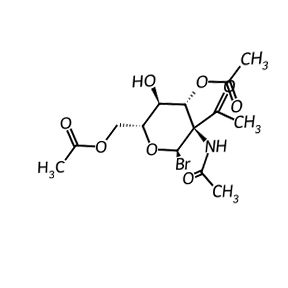 CC(=O)N[C@@]1(C(C)=O)[C@@H](Br)O[C@H](COC(C)=O)[C@@H](O)[C@@H]1OC(C)=O